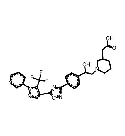 O=C(O)CC1CCCN(CC(O)c2ccc(-c3noc(-c4cnn(-c5cccnc5)c4C(F)(F)F)n3)cc2)C1